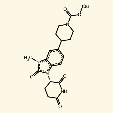 Cn1c(=O)n([C@H]2CCC(=O)NC2=O)c2ccc(C3CCN(C(=O)OC(C)(C)C)CC3)cc21